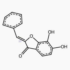 O=C1/C(=C/c2ccccc2)Oc2c1ccc(O)c2O